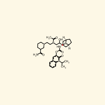 CC(=O)N(CCN1CCCC(C(N)=O)C1)CC(O)CN1[C@@H]2CC[C@H]1C[C@H](NC(=O)Oc1cc3ccccc3n(C(C)C)c1=O)C2